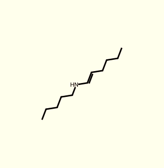 CCCCC=CNCCCCC